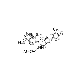 COCCNCCn1cc(-c2ccc(F)c(C(F)(F)F)c2)nc1C1CCN(c2ncnc(N)c2C#N)CC1